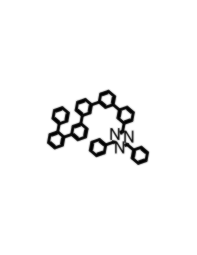 c1ccc(-c2nc(-c3ccccc3)nc(-c3cccc(-c4cccc(-c5cccc(-c6cccc(-c7ccccc7-c7ccccc7)c6)c5)c4)c3)n2)cc1